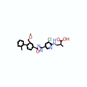 COCc1cc(-c2nc(-c3cnc(NCC(C)C(=O)O)c(Cl)c3)no2)ccc1-c1ccccc1C